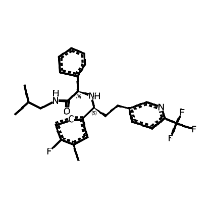 Cc1cc([C@H](CCc2ccc(C(F)(F)F)nc2)N[C@@H](C(=O)NCC(C)C)c2ccccc2)ccc1F